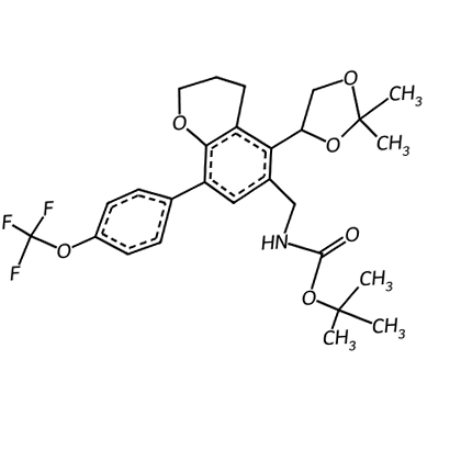 CC(C)(C)OC(=O)NCc1cc(-c2ccc(OC(F)(F)F)cc2)c2c(c1C1COC(C)(C)O1)CCCO2